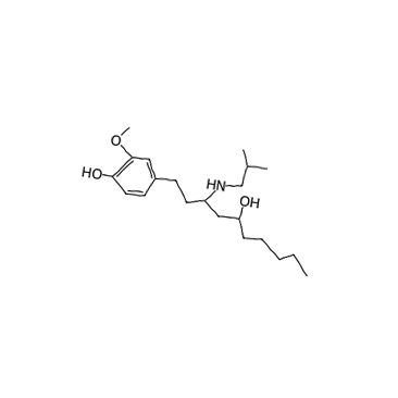 CCCCCC(O)CC(CCc1ccc(O)c(OC)c1)NCC(C)C